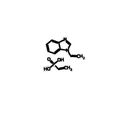 C=CP(=O)(O)O.C=Cn1cnc2ccccc21